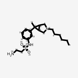 CCCCCCN1CC2C(C1)C2(C)c1cccc(NS(=O)(=O)CCN)c1